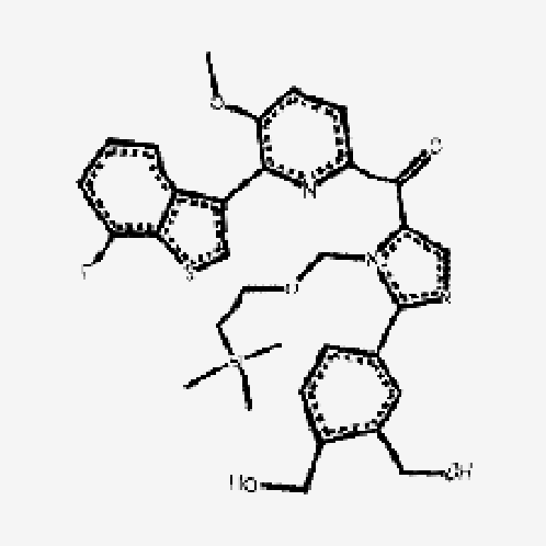 COc1ccc(C(=O)c2cnc(-c3ccc(CO)c(CO)c3)n2COCC[Si](C)(C)C)nc1-c1csc2c(F)cccc12